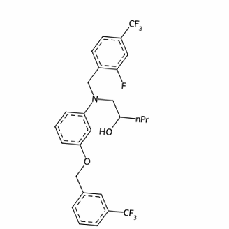 CCCC(O)CN(Cc1ccc(C(F)(F)F)cc1F)c1cccc(OCc2cccc(C(F)(F)F)c2)c1